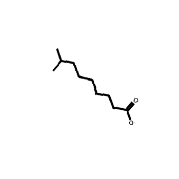 CC(C)CCCCCCC([O])=O